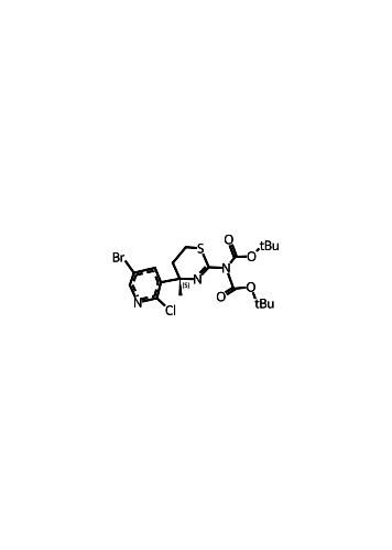 CC(C)(C)OC(=O)N(C(=O)OC(C)(C)C)C1=N[C@](C)(c2cc(Br)cnc2Cl)CCS1